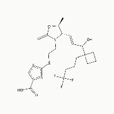 C[C@@H]1OC(=O)N(CCSc2nc(C(=O)O)cs2)[C@H]1C=CC(O)C1(CCCC(F)(F)F)CCC1